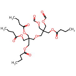 CCCC(=O)OCC(COC=O)(COC=O)COCC(COC(=O)CCC)(COC(=O)CCC)COC(=O)CCC